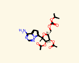 CC(=O)O[C@H]1[C@@H](OC(C)=O)[C@](C)(c2ccc3c(N)ncnn23)O[C@@H]1COC(=O)OC(C)C